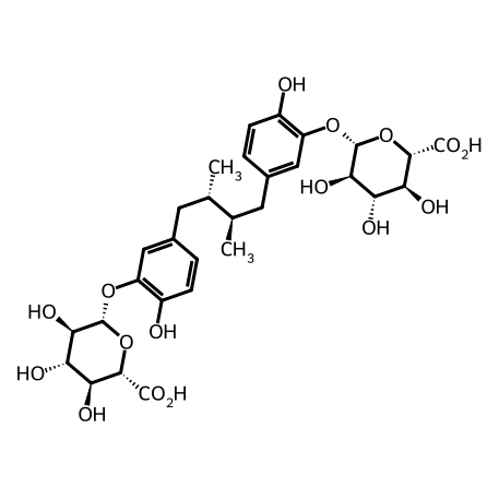 C[C@H](Cc1ccc(O)c(O[C@@H]2O[C@H](C(=O)O)[C@@H](O)[C@H](O)[C@H]2O)c1)[C@@H](C)Cc1ccc(O)c(O[C@@H]2O[C@H](C(=O)O)[C@@H](O)[C@H](O)[C@H]2O)c1